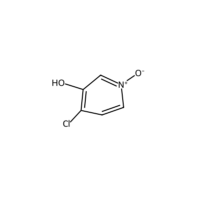 [O-][n+]1ccc(Cl)c(O)c1